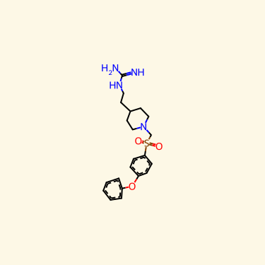 N=C(N)NCCC1CCN(CS(=O)(=O)c2ccc(Oc3ccccc3)cc2)CC1